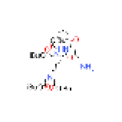 CC(C)COC(=O)CN(CCCC[C@@H](C(=O)N[C@@H](CCCCN)C(=O)C1CCCCC1)N(CC(=O)OCC(C)C)CC(=O)OCC(C)C)CC(=O)OCC(C)C